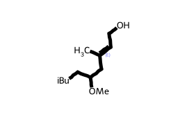 CCC(C)CC(C/C(C)=C/CO)OC